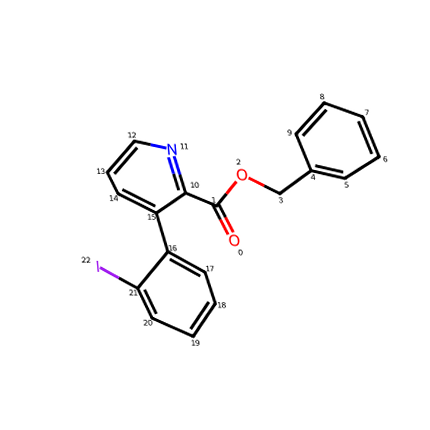 O=C(OCc1ccccc1)c1ncccc1-c1ccccc1I